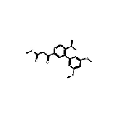 COC(=O)CC(=O)c1ccc(C(C)C)c(-c2cc(OC)cc(OC)c2)c1